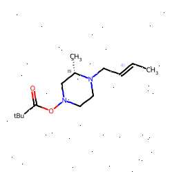 C/C=C/CN1CCN(OC(=O)C(C)(C)C)C[C@@H]1C